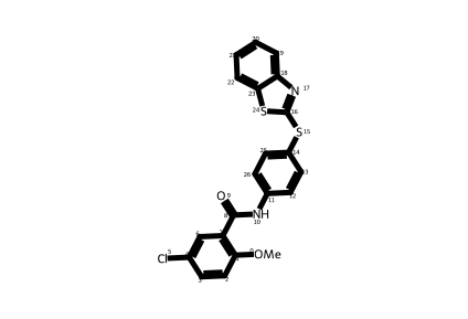 COc1ccc(Cl)cc1C(=O)Nc1ccc(Sc2nc3ccccc3s2)cc1